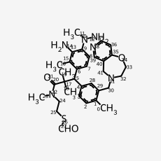 Cc1ccc(C(c2ccc(N(C)N)c(N)c2C)C(C)(C)C(=O)N(C)CCSC=O)cc1CN1CCOc2ccncc2C1